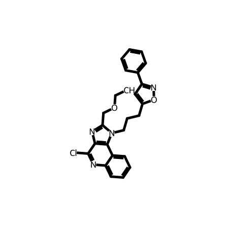 CCOCc1nc2c(Cl)nc3ccccc3c2n1CCCc1cc(-c2ccccc2)no1